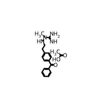 CC(=O)O.CN(NCCc1ccc(C(=O)c2ccccc2)cc1)C(=N)N